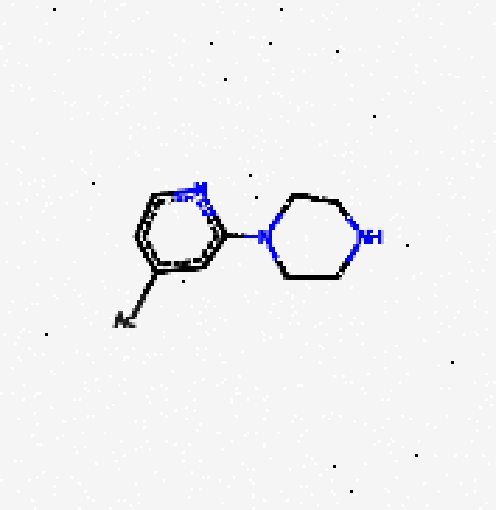 CC(=O)c1ccnc(N2CCNCC2)c1